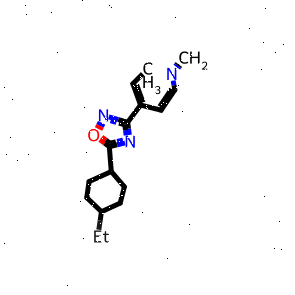 C=N/C=C\C(=C/C)c1noc(C2CCC(CC)CC2)n1